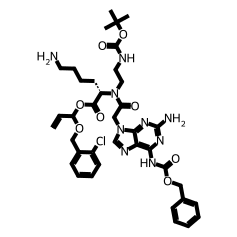 C=CC(OCc1ccccc1Cl)OC(=O)[C@H](CCCCN)N(CCNC(=O)OC(C)(C)C)C(=O)Cn1cnc2c(NC(=O)OCc3ccccc3)nc(N)nc21